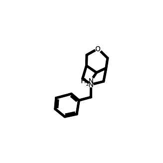 NC1C2COCC1CN(Cc1ccccc1)C2